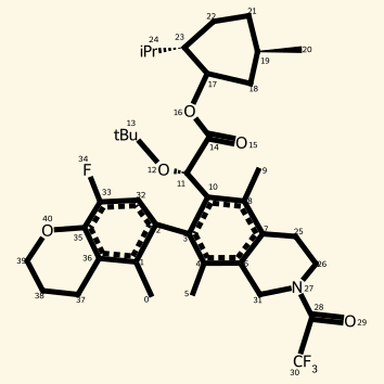 Cc1c(-c2c(C)c3c(c(C)c2[C@H](OC(C)(C)C)C(=O)OC2C[C@H](C)CC[C@H]2C(C)C)CCN(C(=O)C(F)(F)F)C3)cc(F)c2c1CCCO2